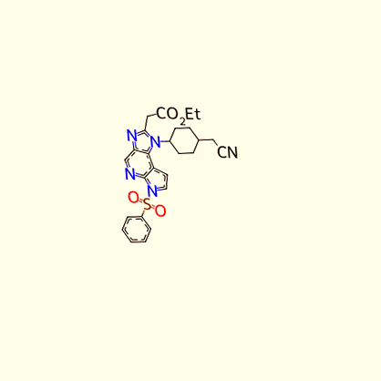 CCOC(=O)Cc1nc2cnc3c(ccn3S(=O)(=O)c3ccccc3)c2n1C1CCC(CC#N)CC1